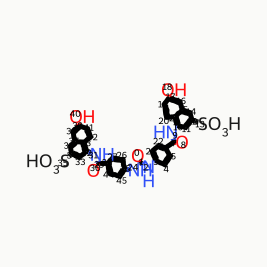 O=C(Nc1ccc(C(=O)Nc2cc(S(=O)(=O)O)cc3cc(O)ccc23)cc1)Nc1ccc(C(=O)Nc2cc(S(=O)(=O)O)cc3cc(O)ccc23)cc1